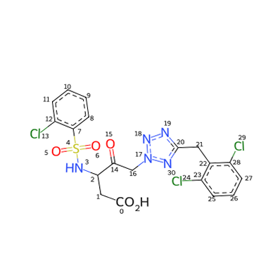 O=C(O)CC(NS(=O)(=O)c1ccccc1Cl)C(=O)Cn1nnc(Cc2c(Cl)cccc2Cl)n1